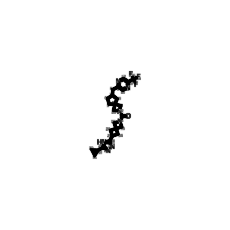 O=C(N1CC2(CCC(Cc3cnc(C(F)(F)F)cn3)C2)C1)N1CC2(CC(c3nnc(C4CC4)[nH]3)C2)C1